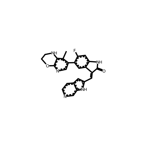 Cc1c(-c2cc3c(cc2F)NC(=O)C3=Cc2cc3ccncc3[nH]2)cnc2c1NCCO2